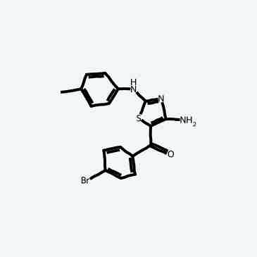 Cc1ccc(Nc2nc(N)c(C(=O)c3ccc(Br)cc3)s2)cc1